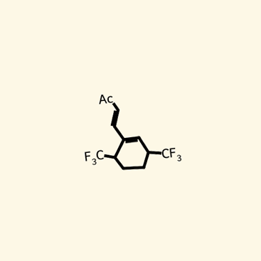 CC(=O)C=CC1=CC(C(F)(F)F)CCC1C(F)(F)F